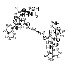 CNCC(=O)N[C@H](C(=O)N1C[C@@H](OCC#CC#CCO[C@H]2C[C@@H](C(=O)N[C@@H]3CCCc4ccccc43)N(C(=O)[C@@H](NC(=O)[C@@H](N)CO)C(C)(C)C)C2)C[C@H]1C(=O)N[C@@H]1CCCc2ccccc21)C(C)(C)C